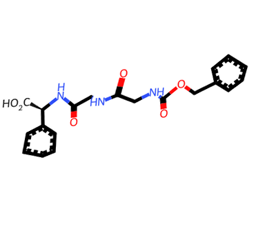 O=C(CNC(=O)OCc1ccccc1)NCC(=O)N[C@H](C(=O)O)c1ccccc1